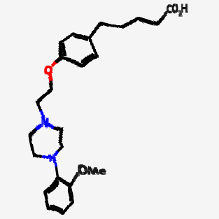 COc1ccccc1N1CCN(CCOc2ccc(CCCCC(=O)O)cc2)CC1